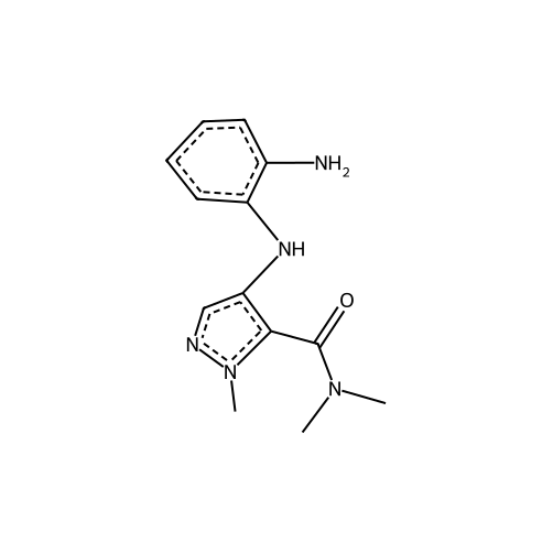 CN(C)C(=O)c1c(Nc2ccccc2N)cnn1C